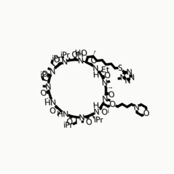 CC[C@@H]1NC(=O)[C@H]([C@H](O)[C@H](C)CCCCCSc2nnnn2C)NC(=O)[C@H](C(C)C)N(C)C(=O)[C@H](CC(C)C)N(C)C(=O)[C@H](CC(C)C)N(C)C(=O)[C@@H](C)NC(=O)[C@H](C)NC(=O)[C@H](CC(C)C)N(C)C(=O)[C@H](C(C)C)NC(=O)[C@H]([C@@H](C)OCCCCN2CCOCC2)N(C)C(=O)[C@@H](C)N(C)C1=O